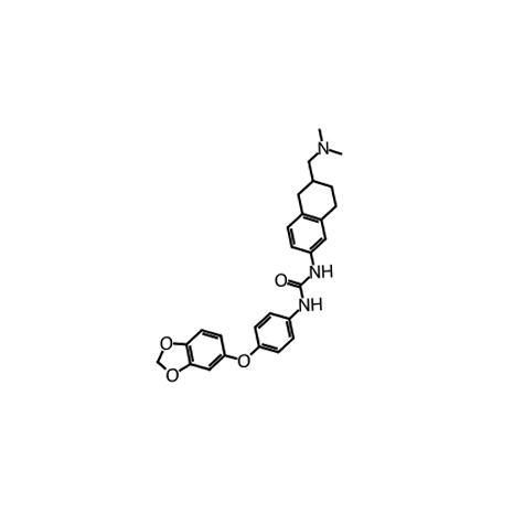 CN(C)CC1CCc2cc(NC(=O)Nc3ccc(Oc4ccc5c(c4)OCO5)cc3)ccc2C1